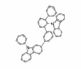 c1ccc(-c2cccc(-c3cccc(-c4ccc5c6ccccc6n(-c6ccccc6)c5c4)c3)c2-n2c3ccccc3c3ccccc32)cc1